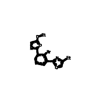 CCOc1cnc(-c2cccc(-c3nc(CC)co3)c2Br)o1